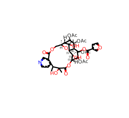 CC(=O)O[C@@H]1[C@@H]2[C@@H](O)[C@@]34O[C@@]2(C)COC(=O)c2cnccc2C(C)C(C)(O)C(=O)O[C@@H]([C@H](OC(C)=O)[C@H](OC(C)=O)[C@@]3(COC(=O)c2ccoc2)[C@@H]1OC(C)=O)[C@]4(C)O